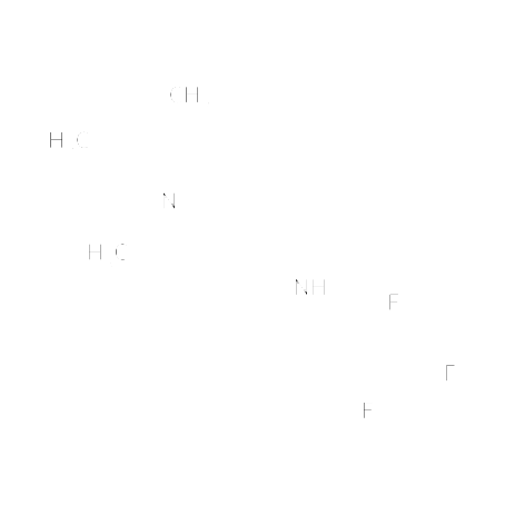 CC(C)N(C)CCNCC(F)(F)F